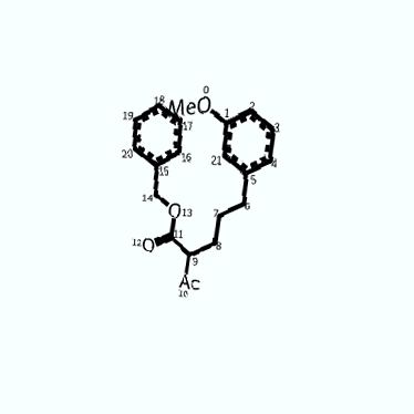 COc1cccc(CCCC(C(C)=O)C(=O)OCc2ccccc2)c1